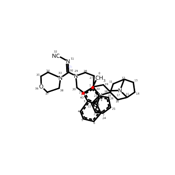 Cc1nc2ccccc2n1C1CC2CCC(C1)N2CCC1(c2ccccc2)CCN(/C(=N/C#N)N2CCOCC2)CC1